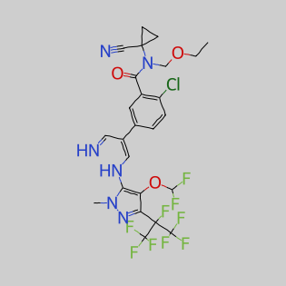 CCOCN(C(=O)c1cc(/C(C=N)=C/Nc2c(OC(F)F)c(C(F)(C(F)(F)F)C(F)(F)F)nn2C)ccc1Cl)C1(C#N)CC1